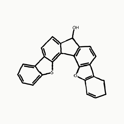 OC1c2ccc3c4c(oc3c2-c2c1ccc1c2sc2ccccc21)C=CCC4